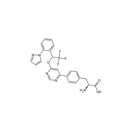 N[C@@H](Cc1ccc(-c2cc(OC(c3ccccc3-n3cccn3)C(F)(F)F)ncn2)cc1)C(=O)O